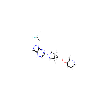 FC(F)Cn1ncc2ncc(N3C[C@@H]4[C@H](COc5cccnc5C(F)(F)F)[C@@H]4C3)nc21